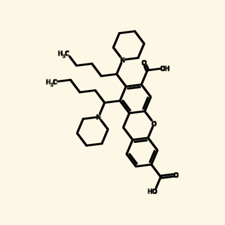 CCCCC(c1c(C(=O)O)cc2c(c1C(CCCC)N1CCCCC1)Cc1ccc(C(=O)O)cc1O2)N1CCCCC1